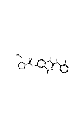 COc1cc(CC(=O)N2CCC[C@H]2CO)ccc1NC(=O)Nc1ccccc1C